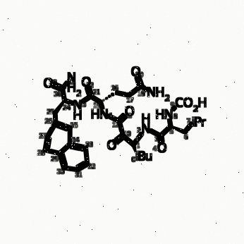 CC[C@H](C)C(NC(=O)[C@H](CC(C)C)NC(=O)O)C(=O)C(=O)N[C@@H](CCC(N)=O)C(=O)N[C@@H](Cc1ccc2ccccc2c1)C(N)=O